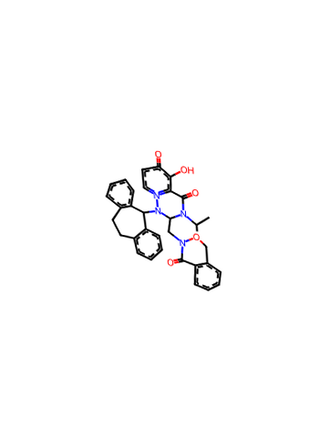 CC(C)N1C(=O)c2c(O)c(=O)ccn2N(C2c3ccccc3CCc3ccccc32)C1CN1OCc2ccccc2C1=O